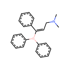 CN(C)CC=C(B(c1ccccc1)c1ccccc1)c1ccccc1